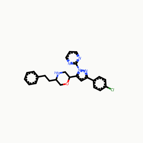 Clc1ccc(-c2cc(C3CNC(CCc4ccccc4)CO3)n(-c3ncccn3)n2)cc1